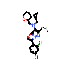 Cc1nn2c(-c3ccc(Cl)cc3Cl)coc2c1N(CC1CC1)CC1CCCCO1